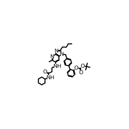 CCCCc1nc2nc(C)c(NCCC(=O)NC3CCCCC3)cc2n1Cc1ccc(-c2ccccc2OC(=O)OC(C)(C)C)cc1